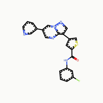 O=C(Nc1cccc(F)c1)c1cc(-c2cnn3cc(-c4cccnc4)cnc23)cs1